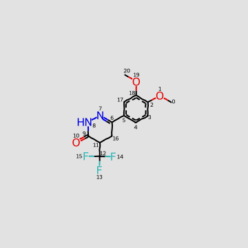 COc1ccc(C2=NNC(=O)C(C(F)(F)F)C2)cc1OC